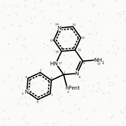 CCCCCC1(c2ccncc2)N=C(N)c2ccncc2N1